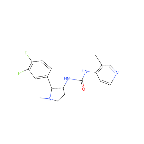 Cc1cnccc1NC(=O)NC1CCN(C)C1c1ccc(F)c(F)c1